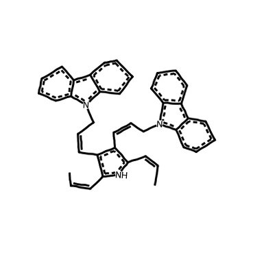 C/C=C\c1[nH]c(/C=C\C)c(/C=C\Cn2c3ccccc3c3ccccc32)c1/C=C\Cn1c2ccccc2c2ccccc21